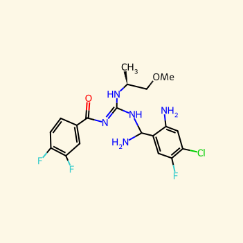 COC[C@H](C)N/C(=N\C(=O)c1ccc(F)c(F)c1)NC(N)c1cc(F)c(Cl)cc1N